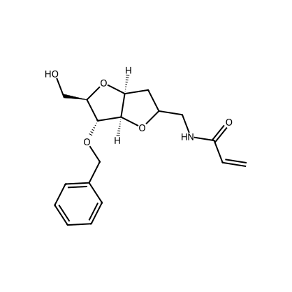 C=CC(=O)NCC1C[C@@H]2O[C@H](CO)[C@@H](OCc3ccccc3)[C@@H]2O1